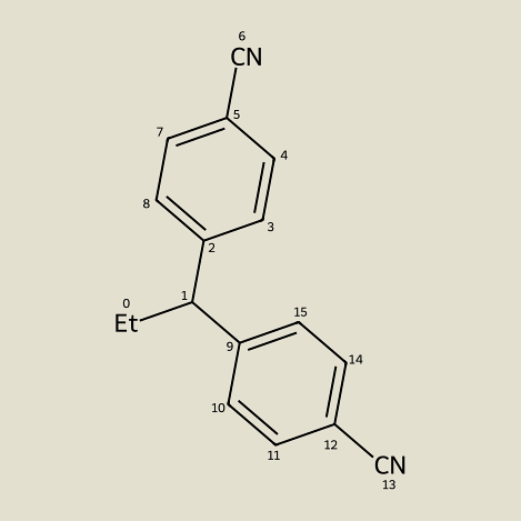 CCC(c1ccc(C#N)cc1)c1ccc(C#N)cc1